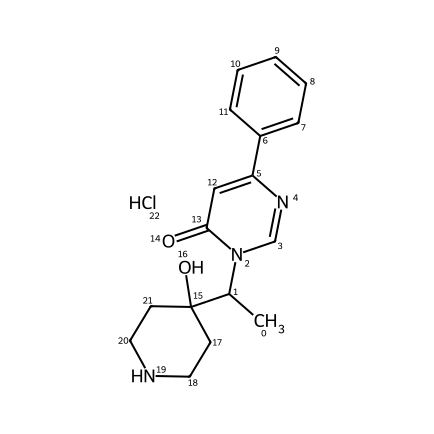 CC(n1cnc(-c2ccccc2)cc1=O)C1(O)CCNCC1.Cl